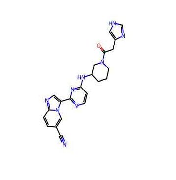 N#Cc1ccc2ncc(-c3nccc(NC4CCCN(C(=O)Cc5c[nH]cn5)C4)n3)n2c1